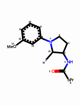 CCCC(=O)NC1CCN(c2cccc(OC)c2)C1I